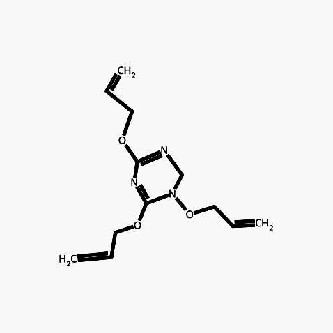 C=CCOC1=NCN(OCC=C)C(OCC=C)=N1